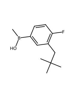 CB(O)c1ccc(F)c(CC(C)(C)C)c1